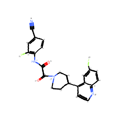 N#Cc1ccc(NC(=O)C(=O)N2CCC(c3ccnc4ccc(F)cc34)CC2)c(F)c1